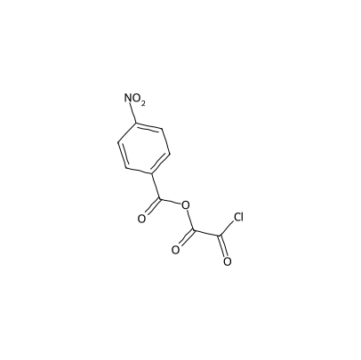 O=C(Cl)C(=O)OC(=O)c1ccc([N+](=O)[O-])cc1